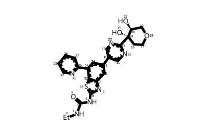 CCNC(=O)Nc1nc2cc(-c3cnc([C@]4(O)CCOC[C@@H]4O)nc3)cc(-c3ccccn3)c2s1